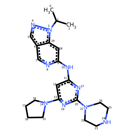 CC(C)n1ncc2cnc(Nc3cc(N4CCCC4)nc(N4CCNCC4)n3)cc21